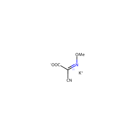 CO/N=C(/C#N)C(=O)[O-].[K+]